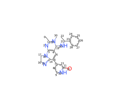 CC1=NC2=C(C=C(c3cc[nH]c(=O)c3)C3=NCCN32)C(NC(C)c2ccccc2)N1C